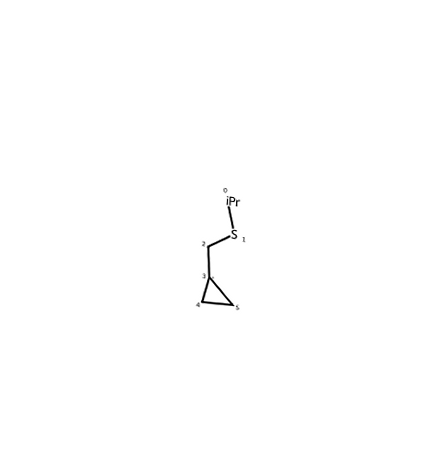 CC(C)SC[C]1CC1